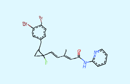 CC(/C=C/C1(F)CC1c1ccc(Br)c(Br)c1)=C\C(=O)Nc1ccccn1